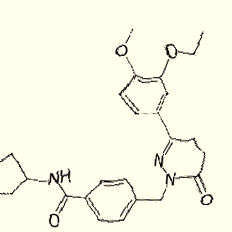 CCOc1cc(C2=NN(Cc3ccc(C(=O)NC4CCCC4)cc3)C(=O)CC2)ccc1OC